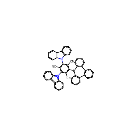 N#Cc1c(B2c3ccccc3-c3ccccc3-c3ccccc32)c(C#N)c(-n2c3ccccc3c3ccccc32)c(C#N)c1N1c2ccccc2C2C=CC=CC21